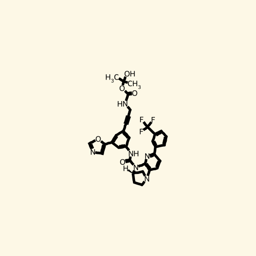 CC(C)(O)OC(=O)NCC#Cc1cc(NC(=O)N2c3nc(-c4cccc(C(F)(F)F)c4)ccc3N3CC[C@H]2C3)cc(-c2cnco2)c1